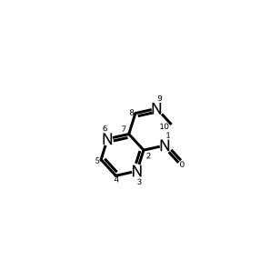 C=Nc1nccnc1/C=N\C